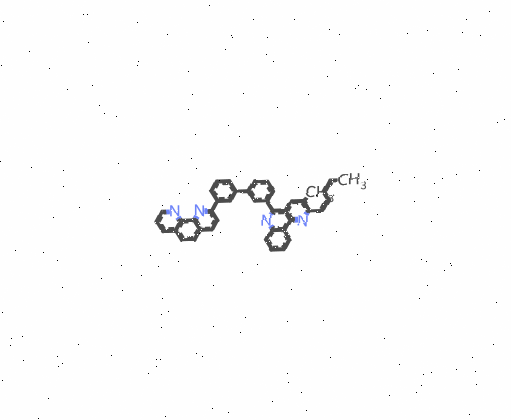 C/C=C\C=C/c1nc2c(cc1C)c(-c1cccc(-c3cccc(-c4ccc5ccc6cccnc6c5n4)c3)c1)nc1ccccc12